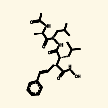 CC(=O)N[C@H](C)C(=O)N(CC(C)C)NC(=O)[C@H](CC(C)C)[C@H](CC=Cc1ccccc1)C(=O)NO